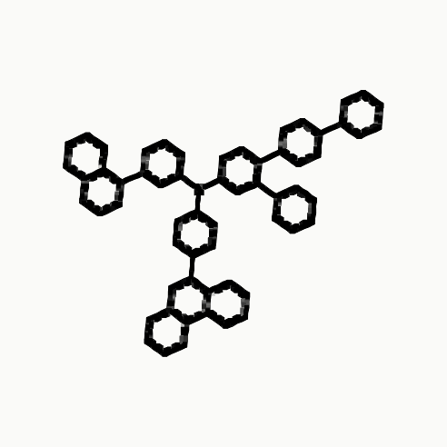 c1ccc(-c2ccc(-c3ccc(N(c4ccc(-c5cc6ccccc6c6ccccc56)cc4)c4cccc(-c5cccc6ccccc56)c4)cc3-c3ccccc3)cc2)cc1